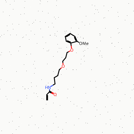 C=CC(=O)NCCCCOCCCOc1ccccc1OC